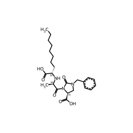 CCCCCCCC[C@H](N[C@H](C)C(=O)N1C(=O)N(Cc2ccccc2)C[C@H]1C(=O)O)C(=O)O